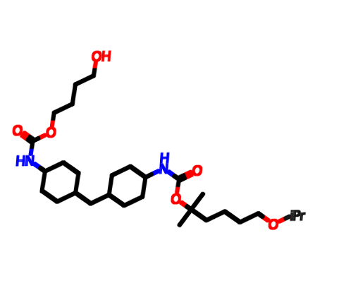 CC(C)OCCCCC(C)(C)OC(=O)NC1CCC(CC2CCC(NC(=O)OCCCCO)CC2)CC1